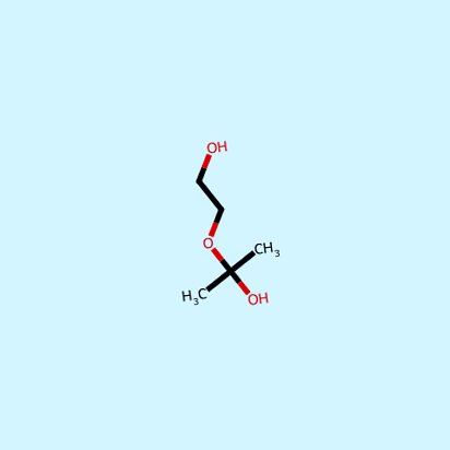 CC(C)(O)OCCO